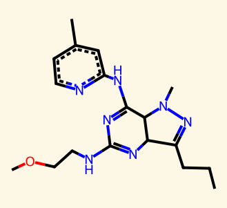 CCCC1=NN(C)C2C(Nc3cc(C)ccn3)=NC(NCCOC)=NC12